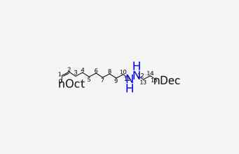 CCCCCCCC/C=C\CCCCCCCCNNCCCCCCCCCCCC